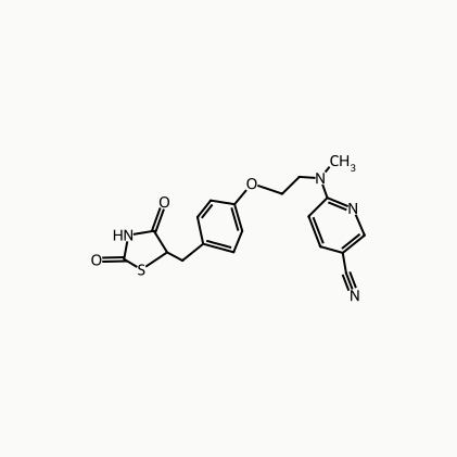 CN(CCOc1ccc(CC2SC(=O)NC2=O)cc1)c1ccc(C#N)cn1